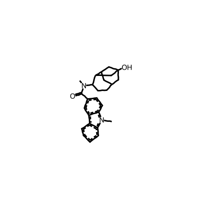 CN(C(=O)c1ccc2c(c1)c1ccccc1n2C)C1CCC2CC3CC(O)(C2)CC31